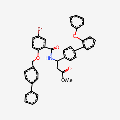 COC(=O)CC(NC(=O)c1cc(Br)ccc1OCc1ccc(-c2ccccc2)cc1)c1ccc(-c2ccccc2Oc2ccccc2)cc1